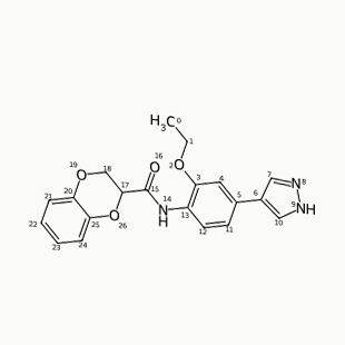 CCOc1cc(-c2cn[nH]c2)ccc1NC(=O)C1COc2ccccc2O1